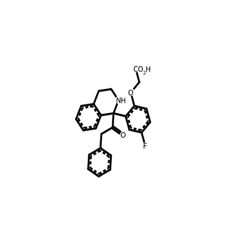 O=C(O)COc1ccc(F)cc1C1(C(=O)Cc2ccccc2)NCCc2ccccc21